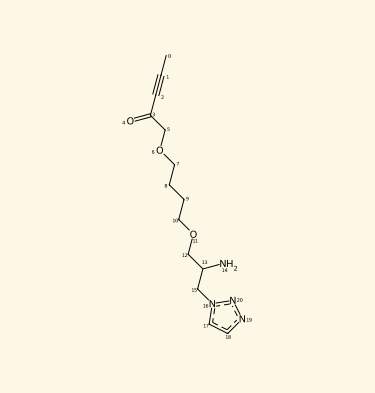 CC#CC(=O)COCCCCOCC(N)Cn1ccnn1